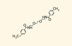 CCc1ccc(C(=O)NCCOCCOCCNC(=O)c2ccc(C)cc2)cc1